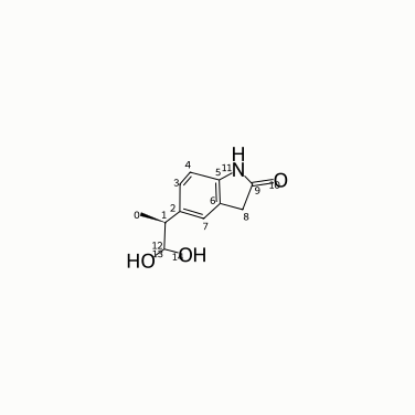 C[C@@H](c1ccc2c(c1)CC(=O)N2)C(O)O